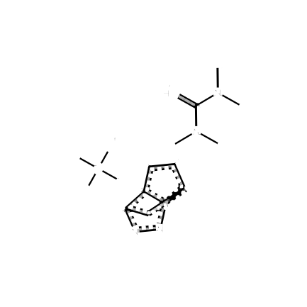 CN(C)C(=[OH+])N(C)C.F[B-](F)(F)F.c1cc2c3cc1n2nn3